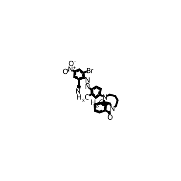 C/C1=C2/c3ccccc3C(=O)N2CCCCN1c1ccc(/N=N/c2c(Br)cc([N+](=O)[O-])cc2C#N)c(C)c1